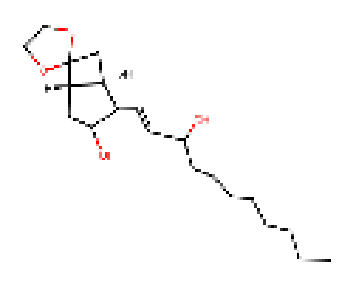 CCCCCCCCC(O)C=CC1C(O)C[C@H]2[C@H]1CC21OCCO1